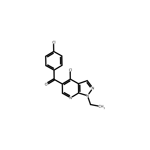 CCn1ncc2c(Cl)c(C(=O)c3ccc(Cl)cc3)cnc21